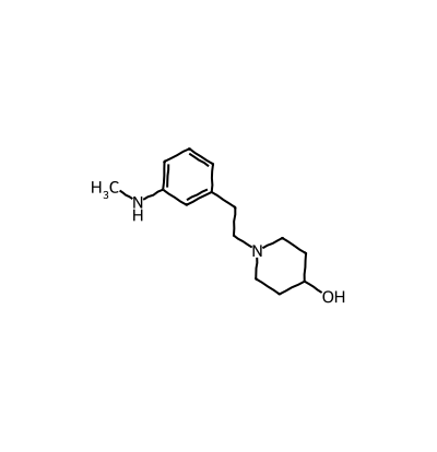 CNc1cccc(CCN2CCC(O)CC2)c1